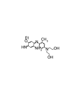 CCOC1=C/C(=N/c2ccc(N(CCO)CCO)cc2C)C(N)=CC1=N